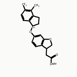 COC(=O)CC1COc2cc(O[C@@H]3CCc4c3ccc(C(F)(F)F)c4C)ccc21